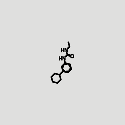 CCNC(=O)Nc1cccc(C2CCCCC2)c1